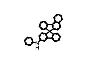 c1ccc(Nc2ccc3c(c2)-c2ccccc2C32c3ccccc3-c3c2ccc2ccccc32)cc1